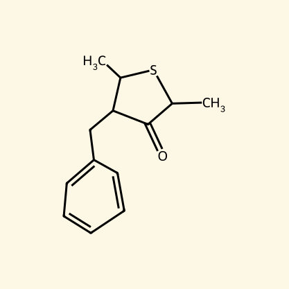 CC1SC(C)C(Cc2ccccc2)C1=O